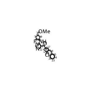 COC[C@@H]1C[C@H](F)[C@H](Nc2ncncc2C(=O)c2cc(Cc3ccccc3)c(Cl)s2)C1